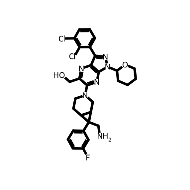 NCC1(c2cccc(F)c2)C2CCN(c3nc4c(nc3CO)c(-c3cccc(Cl)c3Cl)nn4C3CCCCO3)CC21